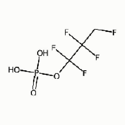 O=P(O)(O)OC(F)(F)C(F)(F)CF